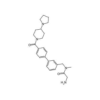 CN(Cc1cccc(-c2ccc(C(=O)N3CCC(N4CCCC4)CC3)cc2)c1)C(=O)CN